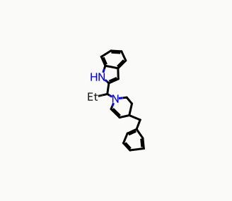 CCC(c1cc2ccccc2[nH]1)N1C=CC(Cc2ccccc2)CC1